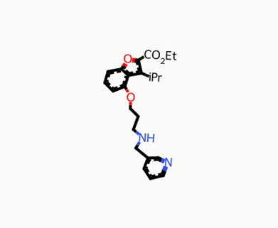 CCOC(=O)c1oc2cccc(OCCCNCc3cccnc3)c2c1C(C)C